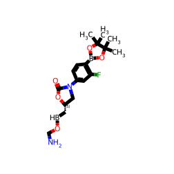 CC1(C)OB(c2ccc(N3C[C@H](CBOCN)OC3=O)cc2F)OC1(C)C